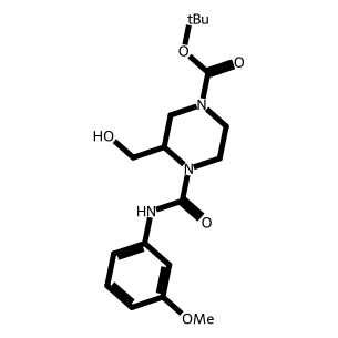 COc1cccc(NC(=O)N2CCN(C(=O)OC(C)(C)C)CC2CO)c1